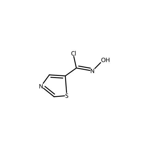 O/N=C(\Cl)c1cncs1